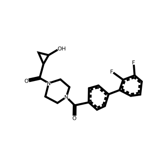 O=C(c1ccc(-c2cccc(F)c2F)cc1)N1CCN(C(=O)C2CC2O)CC1